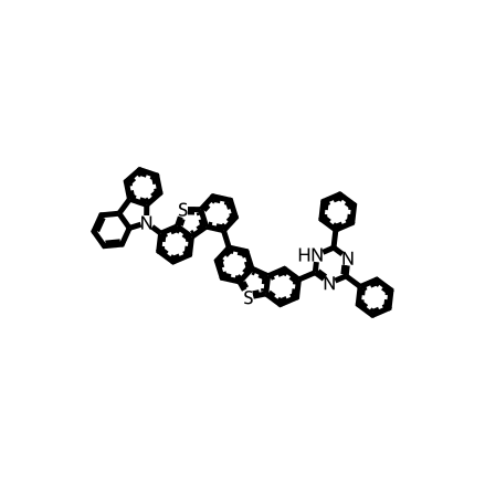 C1=CC2c3ccccc3N(c3cccc4c3sc3cccc(-c5ccc6sc7ccc(C8=NC(c9ccccc9)=NC(c9ccccc9)N8)cc7c6c5)c34)C2C=C1